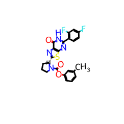 Cc1cccc(OC(=O)N2CCC[C@@H]2c2nc3c(=O)[nH]c(-c4ccc(F)cc4F)nc3s2)c1